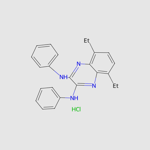 CCc1ccc(CC)c2nc(Nc3ccccc3)c(Nc3ccccc3)nc12.Cl